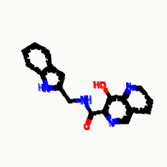 O=C(NCc1cc2ccccc2[nH]1)c1ncc2cccnc2c1O